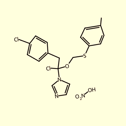 Cc1ccc(SCOC(Cl)(Cc2ccc(Cl)cc2)n2ccnc2)cc1.O=[N+]([O-])O